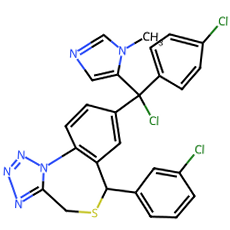 Cn1cncc1C(Cl)(c1ccc(Cl)cc1)c1ccc2c(c1)C(c1cccc(Cl)c1)SCc1nnnn1-2